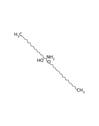 CCCCCCCCCCCCCCCCCCOCC(N)C(O)CCCCCCCCCCCCCCC